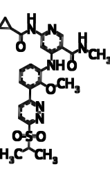 CNC(=O)c1cnc(NC(=O)C2CC2)cc1Nc1cccc(-c2ccc(S(=O)(=O)C(C)C)nn2)c1OC